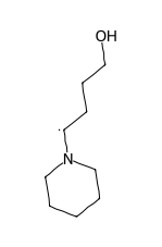 OCCC[CH]N1CCCCC1